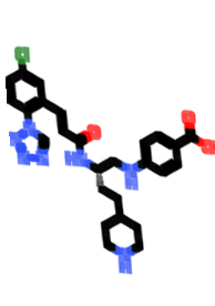 O=C(/C=C/c1cc(Cl)ccc1-n1cnnn1)N[C@@H](CCC1CCNCC1)CNc1ccc(C(=O)O)cc1